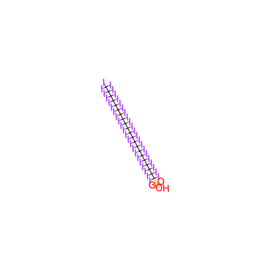 O=S(=O)(O)C(I)(I)C(I)(I)C(I)(I)C(I)(I)C(I)(I)C(I)(I)C(I)(I)C(I)(I)C(I)(I)C(I)(I)C(I)(I)C(I)(I)C(I)(I)C(I)(I)C(I)(I)C(I)(I)C(I)(I)C(I)(I)C(I)(I)C(I)(I)C(I)(I)I